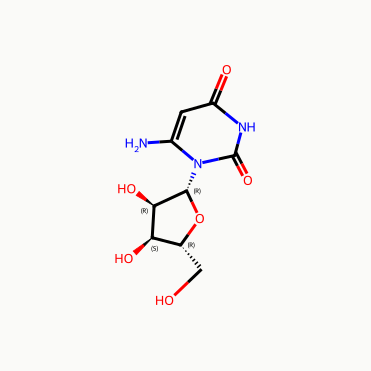 Nc1cc(=O)[nH]c(=O)n1[C@@H]1O[C@H](CO)[C@@H](O)[C@H]1O